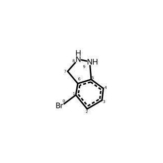 Brc1cccc2c1CNN2